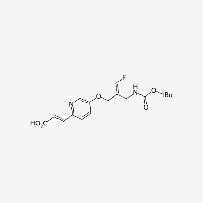 CC(C)(C)OC(=O)NCC(=CF)COc1ccc(/C=C/C(=O)O)nc1